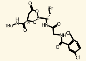 CC(C)C[C@H](NC(=O)CNC(=O)c1cc(Cl)ccc1Cl)B1OC(=O)C[C@H](C(=O)NC(C)(C)C)O1